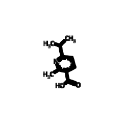 Cc1nc(C(C)C)ccc1C(=O)O